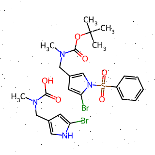 CN(Cc1c[nH]c(Br)c1)C(=O)O.CN(Cc1cc(Br)n(S(=O)(=O)c2ccccc2)c1)C(=O)OC(C)(C)C